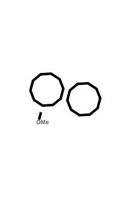 C1CCCCCCCCC1.C1CCCCCCCCC1.COC